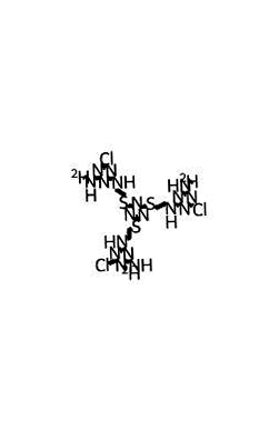 [2H]Nc1nc(Cl)nc(NCCSc2nc(SCCNc3nc(Cl)nc(N[2H])n3)nc(SCCNc3nc(Cl)nc(N[2H])n3)n2)n1